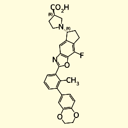 Cc1c(-c2ccc3c(c2)OCCO3)cccc1-c1nc2cc3c(c(F)c2o1)CC[C@H]3N1CC[C@@H](C(=O)O)C1